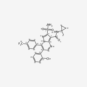 CC1(NC(=O)c2c(S(N)(=O)=O)nn3c(-c4ccc(C(F)(F)F)cc4)c(-c4ccccc4Cl)cnc23)CC1